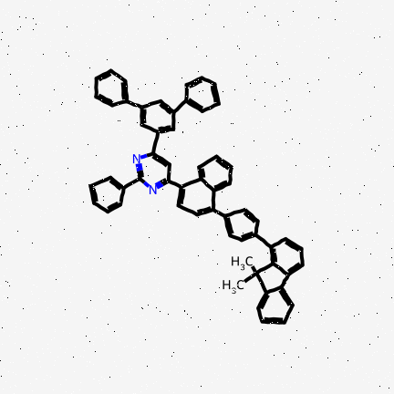 CC1(C)c2ccccc2-c2cccc(-c3ccc(-c4ccc(-c5cc(-c6cc(-c7ccccc7)cc(-c7ccccc7)c6)nc(-c6ccccc6)n5)c5ccccc45)cc3)c21